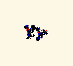 C=CC(=O)N1CCN(c2nc(OC[C@@H]3CC(c4cc(N5CCCc6c(nc(OC[C@@H]7CCCN7C)nc6N6CCN(C(=O)C=C)[C@@H](CC#N)C6)C5)c5ccccc5c4)CN3C)nc3c2CCCN(c2ccccc2)C3)C[C@@H]1CC#N